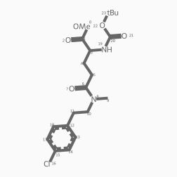 COC(=O)C(CCC(=O)N(C)CCc1ccc(Cl)cc1)NC(=O)OC(C)(C)C